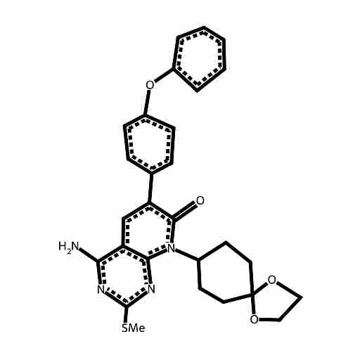 CSc1nc(N)c2cc(-c3ccc(Oc4ccccc4)cc3)c(=O)n(C3CCC4(CC3)OCCO4)c2n1